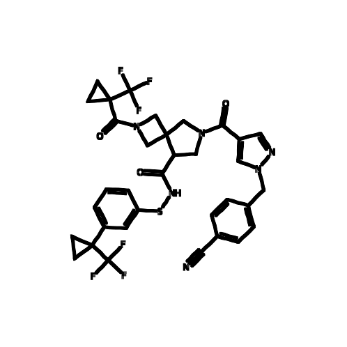 N#Cc1ccc(Cn2cc(C(=O)N3CC(C(=O)NSc4cccc(C5(C(F)(F)F)CC5)c4)C4(C3)CN(C(=O)C3(C(F)(F)F)CC3)C4)cn2)cc1